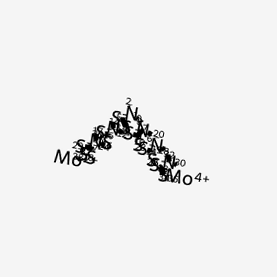 CN(C)C(=S)[S-].CN(C)C(=S)[S-].CN(C)C(=S)[S-].CN(C)C(=S)[S-].CN(C)C(=S)[S-].CN(C)C(=S)[S-].[Mo+4].[S]=[Mo+2]